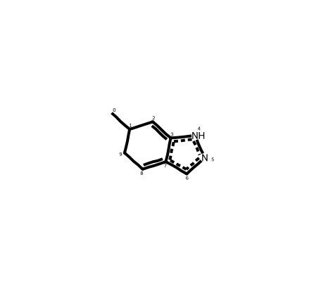 CC1C=c2[nH]ncc2=CC1